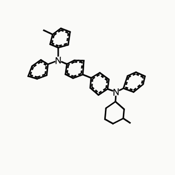 Cc1cccc(N(c2ccccc2)c2ccc(-c3ccc(N(c4ccccc4)C4CCCC(C)C4)cc3)cc2)c1